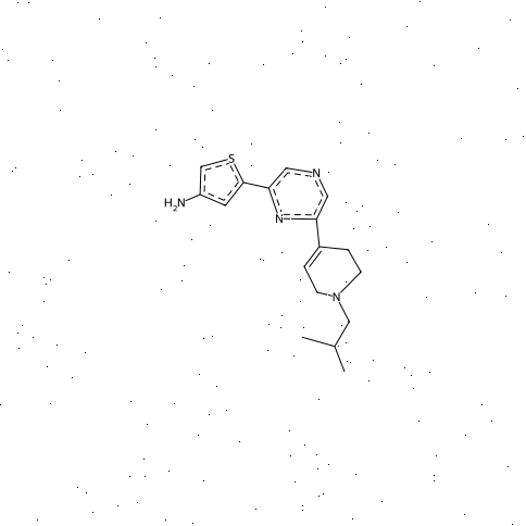 C[C](C)CN1CC=C(c2cncc(-c3cc(N)cs3)n2)CC1